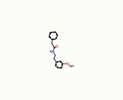 CCCOc1cccc(CCNC(=O)Cc2ccccc2)c1